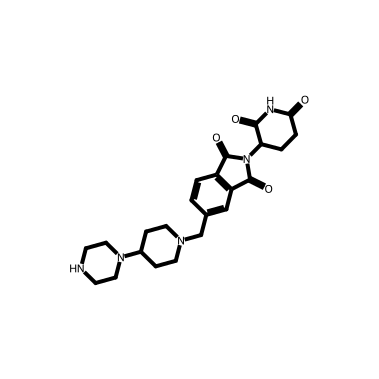 O=C1CCC(N2C(=O)c3ccc(CN4CCC(N5CCNCC5)CC4)cc3C2=O)C(=O)N1